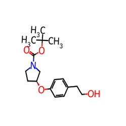 CC(C)(C)OC(=O)N1CC[C@H](Oc2ccc(CCO)cc2)C1